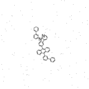 C1=CC(c2cccc(-n3c4ccc(-c5c6ccccc6c(-c6cccc(-c7ccccc7)c6)c6ccccc56)cc4c4cccnc43)c2)=CCC1